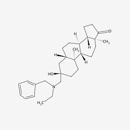 CCN(Cc1ccccc1)C[C@@]1(O)CC[C@@]2(C)[C@@H](CC[C@@H]3[C@@H]2CC[C@]2(C)C(=O)CC[C@@H]32)C1